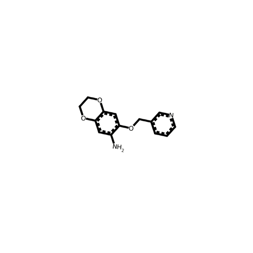 Nc1cc2c(cc1OCc1cccnc1)OCCO2